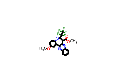 COC(=O)C1C(C(F)(F)C(F)(F)F)=Nc2ccc(OC)cc2-c2nc3ccccc3nc21